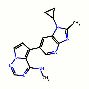 CNc1ncnn2ccc(-c3cnc4nc(C)n(C5CC5)c4c3)c12